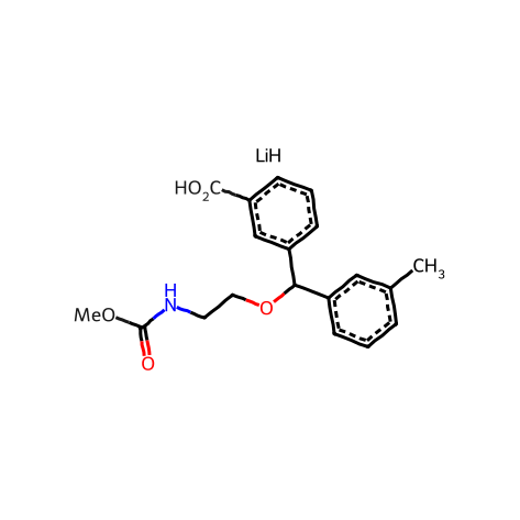 COC(=O)NCCOC(c1cccc(C)c1)c1cccc(C(=O)O)c1.[LiH]